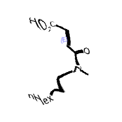 CCCCCCCCN(C)C(=O)/C=C/C(=O)O